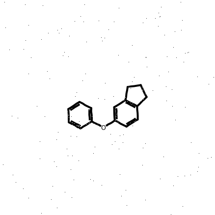 c1ccc(Oc2ccc3c(c2)CCC3)cc1